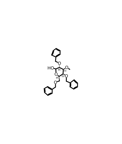 CO[C@H]1[C@@H](OCc2ccccc2)[C@@H](COCc2ccccc2)OC(O)[C@@H]1OCc1ccccc1